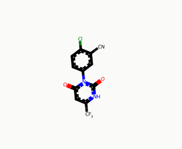 N#Cc1cc(-n2c(=O)cc(C(F)(F)F)[nH]c2=O)ccc1Cl